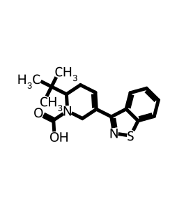 CC(C)(C)C1CC=C(c2nsc3ccccc23)CN1C(=O)O